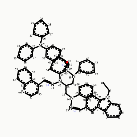 CCn1c2ccccc2c2cc(/C=N\N(CC(CN(/N=C/c3ccc(N(c4ccccc4)c4ccccc4)cc3)c3ccccc3)N(/N=C/c3ccnc4ccccc34)c3ccccc3)c3ccccc3)ccc21